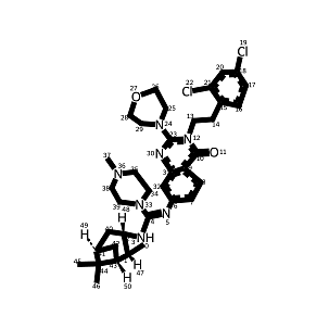 C[C@H]1[C@@H](NC(=Nc2ccc3c(=O)n(CCc4ccc(Cl)cc4Cl)c(N4CCOCC4)nc3c2)N2CCN(C)CC2)C[C@H]2C[C@H]1C2(C)C